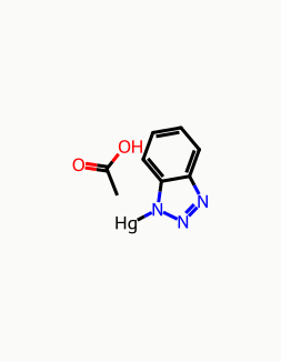 CC(=O)O.[Hg][n]1nnc2ccccc21